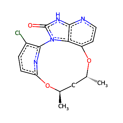 C[C@@H]1C[C@@H](C)Oc2ccnc3[nH]c(=O)n(c23)-c2nc(ccc2Cl)O1